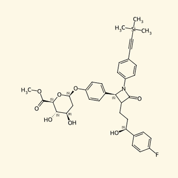 COC(=O)[C@H]1O[C@@H](Oc2ccc([C@@H]3C(CC[C@H](O)c4ccc(F)cc4)C(=O)N3c3ccc(C#C[Si](C)(C)C)cc3)cc2)C[C@@H](O)[C@@H]1O